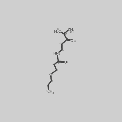 CCCOCCC(=O)NCCC(=O)C(C)C